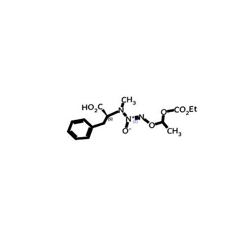 CCOC(=O)OC(C)O/N=[N+](\[O-])N(C)[C@@H](Cc1ccccc1)C(=O)O